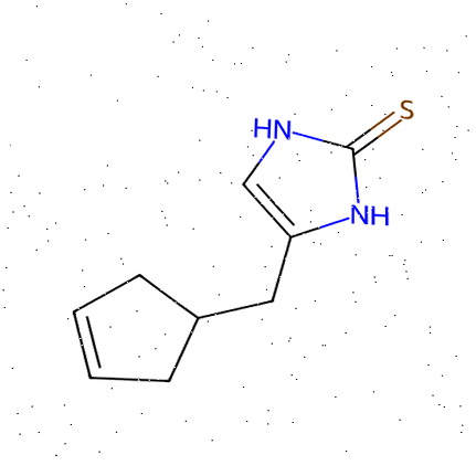 S=c1[nH]cc(CC2CC=CC2)[nH]1